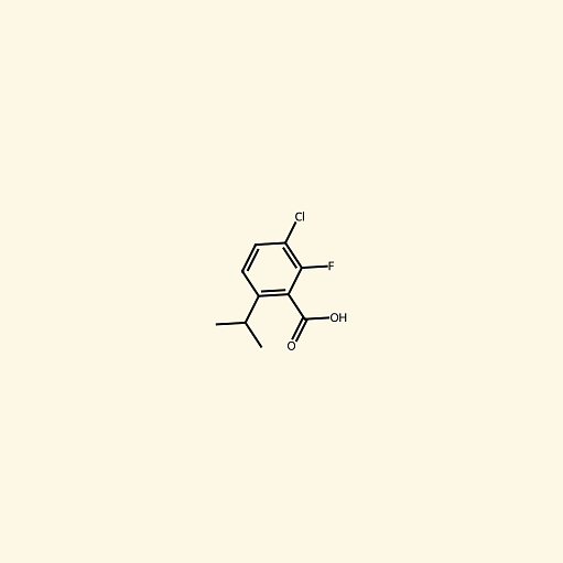 CC(C)c1ccc(Cl)c(F)c1C(=O)O